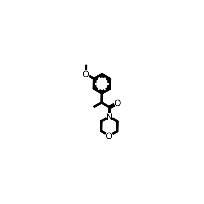 COc1cccc(C(C)C(=O)N2CCOCC2)c1